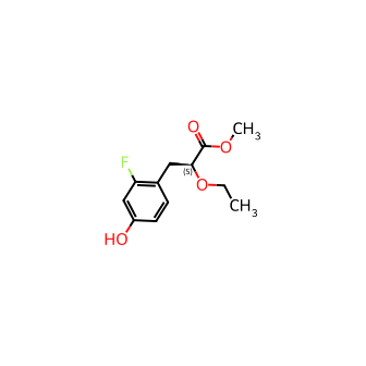 CCO[C@@H](Cc1ccc(O)cc1F)C(=O)OC